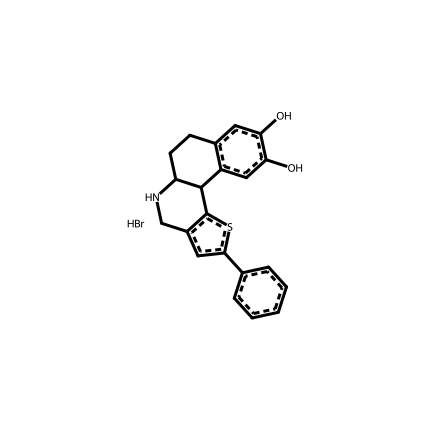 Br.Oc1cc2c(cc1O)C1c3sc(-c4ccccc4)cc3CNC1CC2